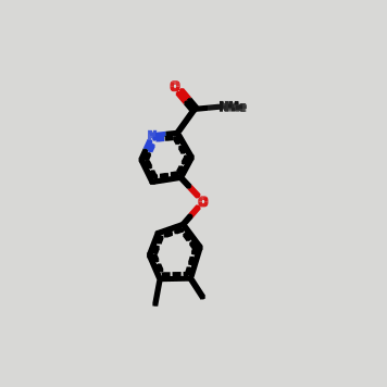 CNC(=O)c1cc(Oc2ccc(C)c(C)c2)ccn1